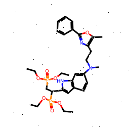 CCOP(=O)(CC(c1cc2ccc(N(C)CCc3nc(-c4ccccc4)oc3C)cc2[nH]1)P(=O)(OCC)OCC)OCC